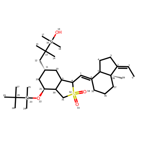 C/C=C1/CCC2/C(=C/C3C4C[C@@H](CC(C)(C)[Si](C)(C)O)C[C@H](O[Si](C)(C)C(C)(C)C)C4CS3(=O)=O)CCC[C@]12C